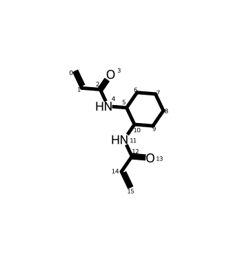 C=CC(=O)NC1CCCCC1NC(=O)C=C